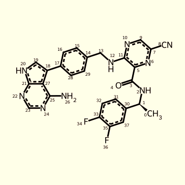 C[C@H](NC(=O)c1nc(C#N)cnc1NCc1ccc(-c2c[nH]c3ncnc(N)c23)cc1)c1ccc(F)c(F)c1